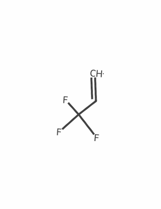 [CH]=CC(F)(F)F